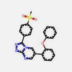 CS(=O)(=O)c1ccc(-c2nnc3ncc(-c4ccccc4Oc4ccccc4)cn23)cc1